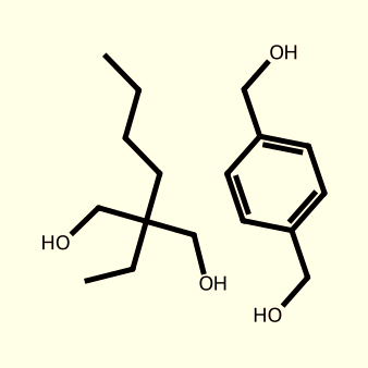 CCCCC(CC)(CO)CO.OCc1ccc(CO)cc1